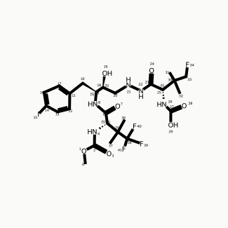 COC(=O)N[C@H](C(=O)N[C@@H](Cc1ccc(I)cc1)[C@@H](O)CNNC(=O)[C@@H](NC(=O)O)C(C)(C)CF)C(C)(C)C(F)(F)F